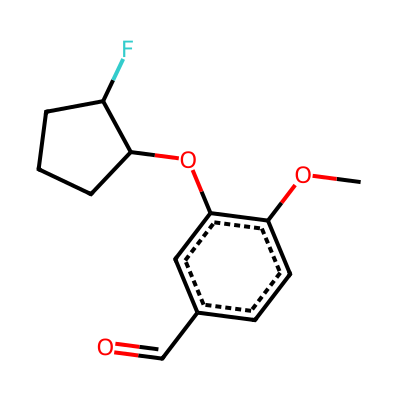 COc1ccc(C=O)cc1OC1CCCC1F